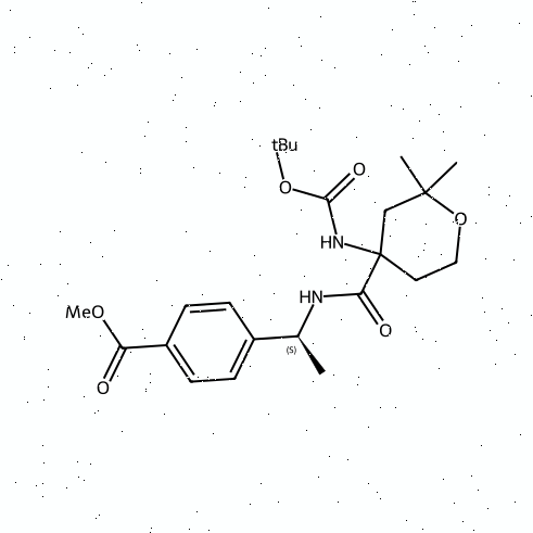 COC(=O)c1ccc([C@H](C)NC(=O)C2(NC(=O)OC(C)(C)C)CCOC(C)(C)C2)cc1